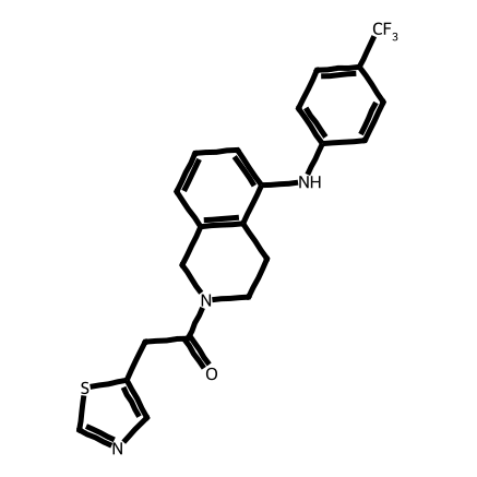 O=C(Cc1cncs1)N1CCc2c(cccc2Nc2ccc(C(F)(F)F)cc2)C1